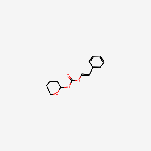 O=C(OC=Cc1ccccc1)OC1CCCCO1